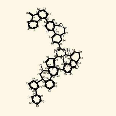 C=C1c2ccccc2-c2c1cccc2-c1ccc2c(c1)OCCC1CC(C3=NC(C4=CCCC=C4)N(C)C(C4=CCCc5oc6ccc(-c7ccc8c(c7)-c7ccccc7C(c7cccc(-c9ccccc9)c7)C[C@H]8C)cc6c54)N3)=CC=C21